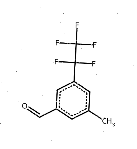 Cc1cc(C=O)cc(C(F)(F)C(F)(F)F)c1